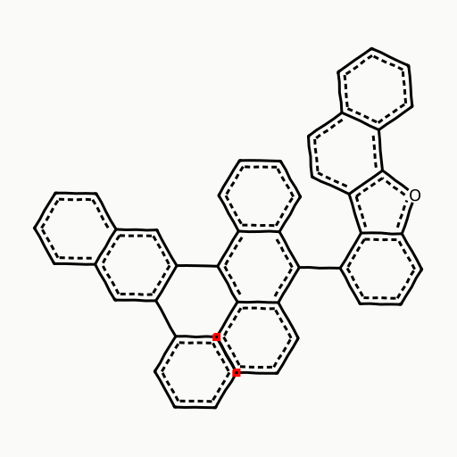 c1ccc(-c2cc3ccccc3cc2-c2c3ccccc3c(-c3cccc4oc5c6ccccc6ccc5c34)c3ccccc23)cc1